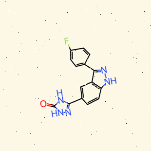 O=c1[nH]nc(-c2ccc3[nH]nc(-c4ccc(F)cc4)c3c2)[nH]1